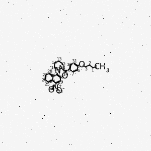 CCCCOc1ccc(C(=O)N2CCCCN2c2ccc([N+](=O)[O-])c3ccccc23)cc1